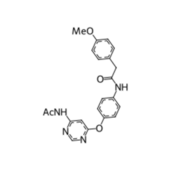 COc1ccc(CC(=O)Nc2ccc(Oc3cc(NC(C)=O)ncn3)cc2)cc1